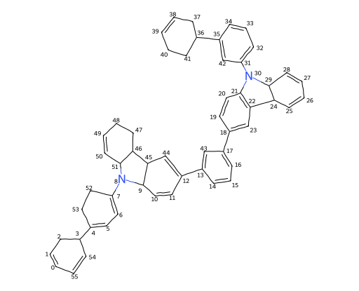 C1=CCC(C2=CC=C(N3C4C=CC(c5cccc(-c6ccc7c(c6)C6C=CC=CC6N7c6cccc(C7CC=CCC7)c6)c5)=CC4C4CCC=CC43)CC2)C=C1